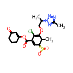 Cc1nnn(C(C)COC2=C(Cl)C(C(=O)OC3=CC(=O)CCC3)=CC(=S(=O)=O)C2C)n1